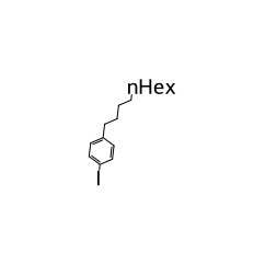 [CH2]CCCCCCCCCc1ccc(I)cc1